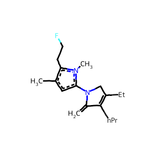 C=C1C(CCC)=C(CC)CN1c1cc(C)c(CCF)n1C